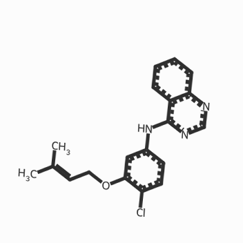 CC(C)=CCOc1cc(Nc2ncnc3ccccc23)ccc1Cl